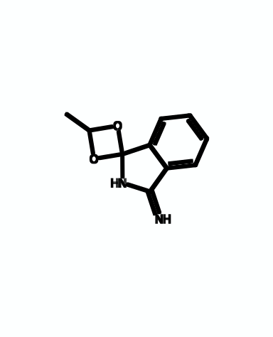 CC1OC2(NC(=N)c3ccccc32)O1